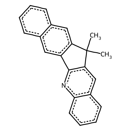 CC1(C)c2cc3ccccc3cc2-c2nc3ccccc3cc21